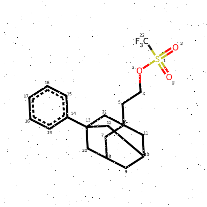 O=S(=O)(OCCC12CC3CC(C1)CC(c1ccccc1)(C3)C2)C(F)(F)F